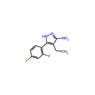 CCc1c(N)n[nH]c1-c1ccc(F)cc1F